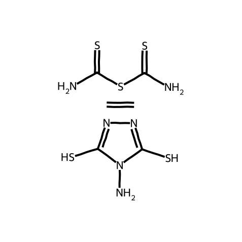 C=C.NC(=S)SC(N)=S.Nn1c(S)nnc1S